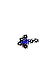 c1ccc(-c2ccc(-c3nc(-c4ccccc4)nc(-n4c5ccccc5c5ccc6c7cccc8c9ccccc9n(c87)c6c54)n3)cc2)cc1